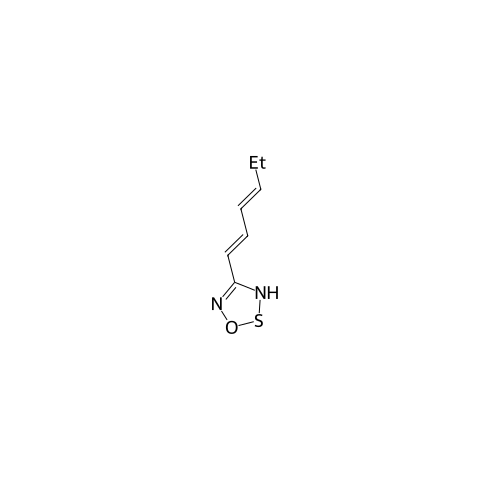 [CH2]C/C=C/C=C/C1=NOSN1